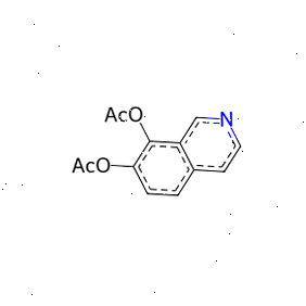 CC(=O)Oc1ccc2ccncc2c1OC(C)=O